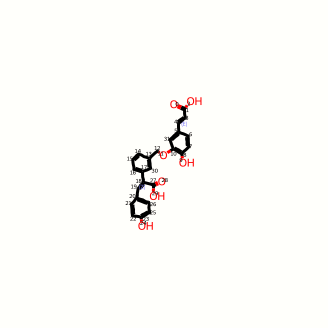 O=C(O)/C=C/c1ccc(O)c(OCc2cccc(/C(=C/c3ccc(O)cc3)C(=O)O)c2)c1